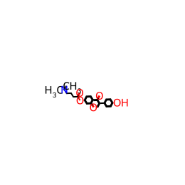 CN(C)CCCC(=O)Oc1ccc2c(=O)c(-c3ccc(O)cc3)coc2c1